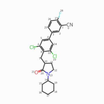 N#Cc1cc(-c2cc(Cl)c(CC3CCN(C4CCCCC4)C3=O)c(Cl)c2)ccc1F